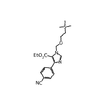 CCOC(=O)c1c(-c2ccc(C#N)cc2)ncn1COCCS(C)(C)C